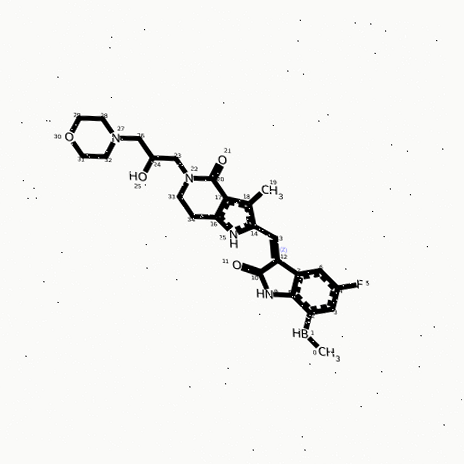 CBc1cc(F)cc2c1NC(=O)/C2=C\c1[nH]c2c(c1C)C(=O)N(CC(O)CN1CCOCC1)CC2